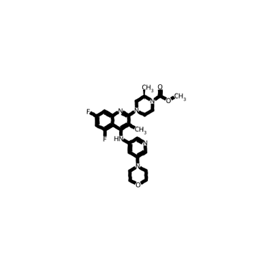 COC(=O)N1CCN(c2nc3cc(F)cc(F)c3c(Nc3cncc(N4CCOCC4)c3)c2C)C[C@H]1C